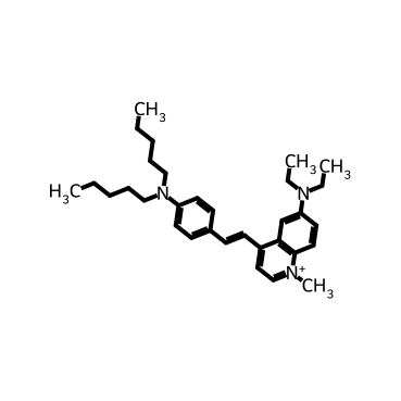 CCCCCN(CCCCC)c1ccc(C=Cc2cc[n+](C)c3ccc(N(CC)CC)cc23)cc1